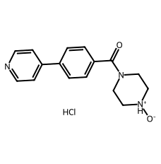 Cl.O=C(c1ccc(-c2ccncc2)cc1)N1CC[NH+]([O-])CC1